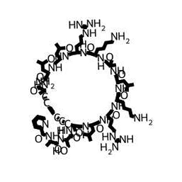 CC(C)CC1NC(=O)C(CCCNC(=N)N)NC(=O)C(CCCCN)NC(=O)C(C)(C)NC(=O)C(CC(C)C)NC(=O)C(CCCCN)NC(=O)C(CCCNC(=N)N)NC(=O)C(CC(C)C)NC(=O)C(C)(NC(=O)C(CO)NC(=O)C(C)NC(=O)c2ccccn2)CCCC=CCCC(C)(C(N)=O)NC(=O)C(CC(C)C)NC1=O